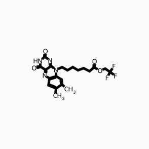 Cc1cc2nc3c(=O)[nH]c(=O)nc-3n(CCCCCCC(=O)OCC(F)(F)F)c2cc1C